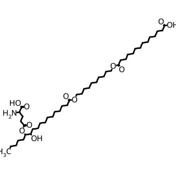 CCCCCC(OC(=O)CCC(N)C(=O)O)C(O)CCCCCCCCCCC(=O)OCCCCCCCCCCOC(=O)CCCCCCCCCCCCC(=O)O